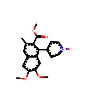 COC(=O)c1c(C)cc2cc(OC)c(OC)cc2c1-c1cc[n+]([O-])cc1